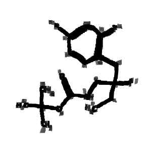 CCC(F)(CNC(=O)OC(C)(C)C)Cc1ccc(F)cc1F